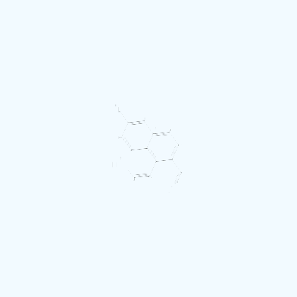 C=Cc1ccc2cc(I)ccc2c1/C=C\C